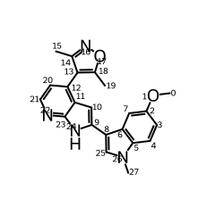 COc1ccc2c(c1)c(-c1cc3c(-c4c(C)noc4C)ccnc3[nH]1)cn2C